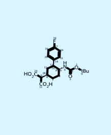 CC(C)(C)OC(=O)N[C@@H]1CC[C@@H](C(C(=O)O)C(=O)O)C[C@H]1c1ccc(F)cc1